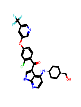 O=C(c1ccc(Oc2cncc(C(F)(F)F)c2)cc1Cl)c1c[nH]c2nccc(N[C@H]3CC[C@H](CO)CC3)c12